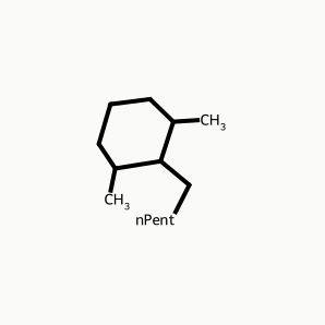 CCCCCCC1C(C)CCCC1C